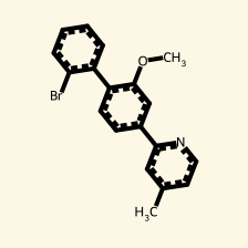 COc1cc(-c2cc(C)ccn2)ccc1-c1ccccc1Br